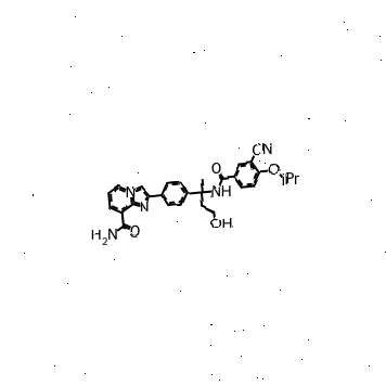 CC(C)Oc1ccc(C(=O)NC(C)(CCO)c2ccc(-c3cn4cccc(C(N)=O)c4n3)cc2)cc1C#N